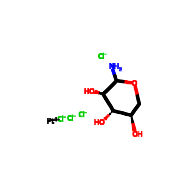 NC1OC[C@@H](O)[C@H](O)[C@H]1O.[Cl-].[Cl-].[Cl-].[Cl-].[Pt+4]